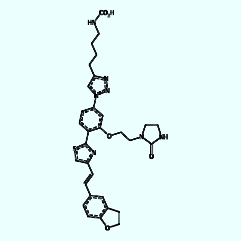 O=C(O)NCCCCc1cn(-c2ccc(-c3nc(C=Cc4ccc5c(c4)CCO5)cs3)c(OCCN3CCNC3=O)c2)nn1